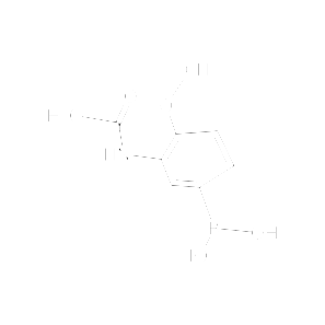 COc1ccc(B(O)O)cc1NC(C)=O